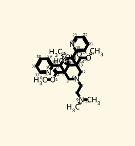 COC(=O)C12CN(CCN(C)C)CC(C(=O)OC)(C(c3ccccn3)N(C)C1c1ccccn1)C2(O)O